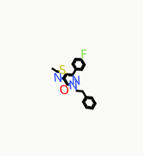 Cc1nc2c(=O)n(CCc3ccccc3)nc(-c3ccc(F)cc3)c2s1